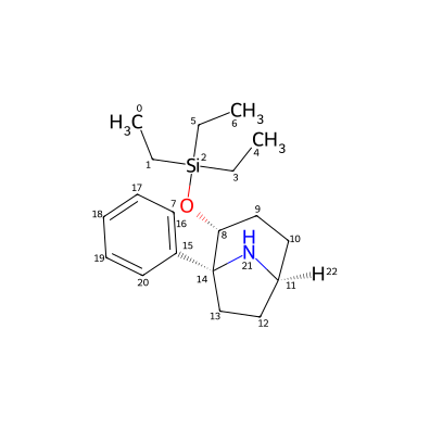 CC[Si](CC)(CC)O[C@@H]1CC[C@H]2CC[C@]1(c1ccccc1)N2